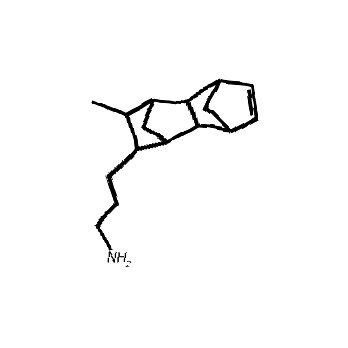 CC1C(CCCN)C2CC1C1C3C=CC(C3)C21